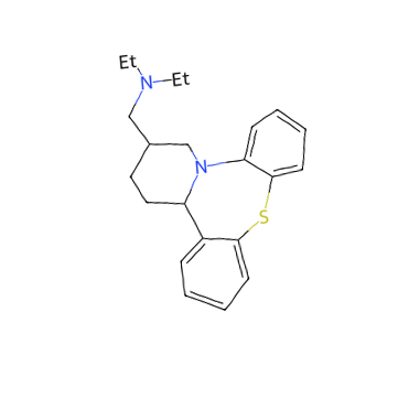 CCN(CC)CC1CCC2c3ccccc3Sc3ccccc3N2C1